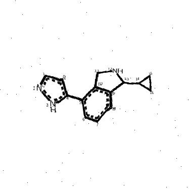 [c]1cn[nH]c1-c1cccc2c1CNC2C1CC1